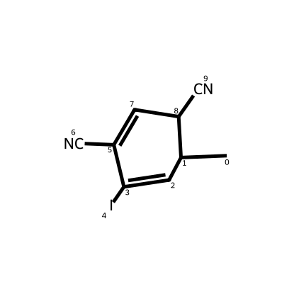 CC1C=C(I)C(C#N)=CC1C#N